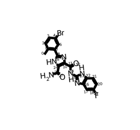 Cc1ccc(Br)cc1-c1nc(C(=O)Nc2nc3cc(F)ccc3[nH]2)c(C(N)=O)[nH]1